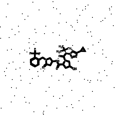 CC(C)(C)[C@@H](C(=O)N1CC(O)CC1C(=O)NC1CC(=O)N(Cc2ccccc2C(F)(F)F)C1)n1cc(C2CC2)nn1